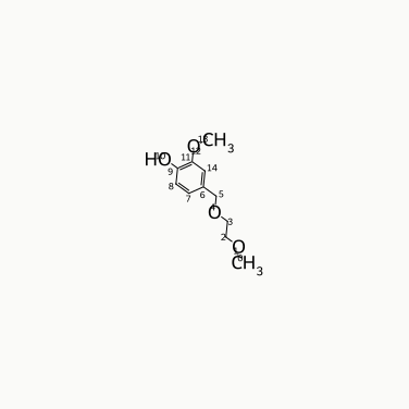 COCCOCc1ccc(O)c(OC)c1